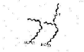 CCCCC/C=C\C/C=C\CCCCCCCC(=O)O.CCCCC/C=C\C/C=C\CCCCCCCC(=O)O.CCC[CH2][Sn][CH2]CCC